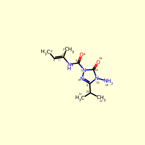 C/C=C(\C)NC(=O)n1nc(C(C)C)n(N)c1=O